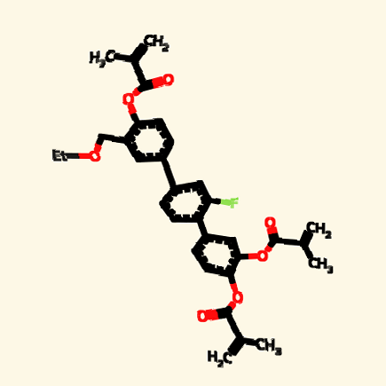 C=C(C)C(=O)Oc1ccc(-c2ccc(-c3ccc(OC(=O)C(=C)C)c(OC(=O)C(=C)C)c3)c(F)c2)cc1COCC